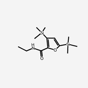 CCNC(=O)c1oc([Si](C)(C)C)cc1[Si](C)(C)C